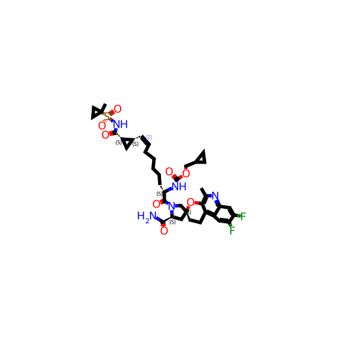 Cc1nc2cc(F)c(F)cc2c2c1O[C@]1(CC2)C[C@@H](C(N)=O)N(C(=O)[C@H](CCCCC/C=C\[C@@H]2C[C@@H]2C(=O)NS(=O)(=O)C2(C)CC2)NC(=O)OCC2CC2)C1